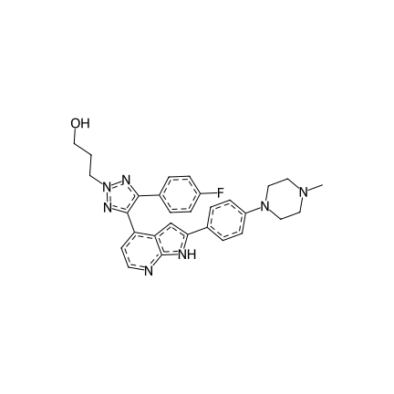 CN1CCN(c2ccc(-c3cc4c(-c5nn(CCCO)nc5-c5ccc(F)cc5)ccnc4[nH]3)cc2)CC1